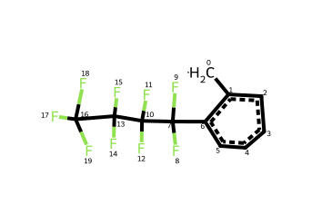 [CH2]c1ccccc1C(F)(F)C(F)(F)C(F)(F)C(F)(F)F